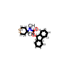 CN(C(=O)OC1c2ccccc2-c2ccccc21)C1(C#N)CCSCC1